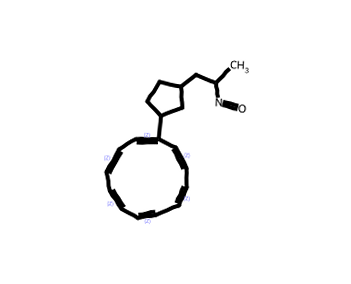 CC(CC1CCC(C2=C/C=C\C=C/C=C\C=C/C=C\2)C1)N=O